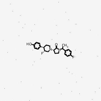 CC(c1ccc(F)cc1)N1CC[C@H](N2CC[C@H](c3ccc(O)cc3)[C@@H](F)C2)C1=O